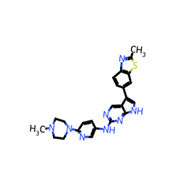 Cc1nc2ccc(-c3c[nH]c4nc(Nc5ccc(N6CCN(C)CC6)nc5)ncc34)cc2s1